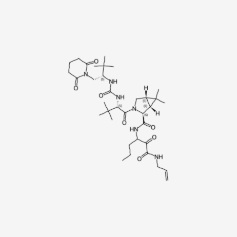 C=CCNC(=O)C(=O)C(CCC)NC(=O)[C@@H]1[C@@H]2[C@H](CN1C(=O)[C@@H](NC(=O)N[C@H](CN1C(=O)CCCC1=O)C(C)(C)C)C(C)(C)C)C2(C)C